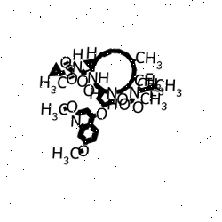 COc1ccc2c(O[C@@H]3C[C@H]4C(=O)N[C@]5(C(=O)NS(=O)(=O)C6(C)CC6)C[C@H]5C=CCC[C@@H](C)C[C@@H](C)[C@H](N(C(=O)O)C(C)(C)C(C)(F)F)C(=O)N4C3)cc(OC)nc2c1